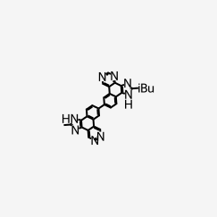 CCC(C)c1nc2c3ncncc3c3cc(-c4ccc5c(c4)c4cnncc4c4nc(C)[nH]c54)ccc3c2[nH]1